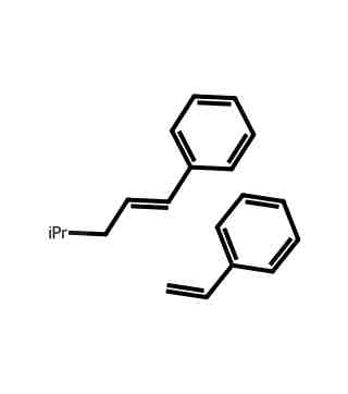 C=Cc1ccccc1.CC(C)CC=Cc1ccccc1